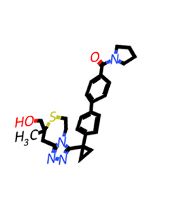 CC1(CO)Cc2nnc(C3(c4ccc(-c5ccc(C(=O)N6CCCC6)cc5)cc4)CC3)n2CCS1